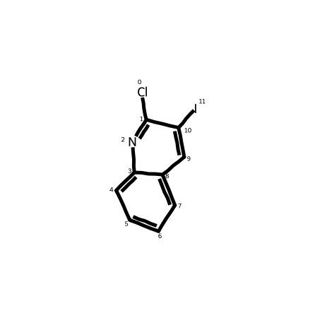 Clc1nc2ccccc2cc1I